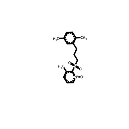 Cc1ccc(C)c(CCCS(=O)(=O)c2c(C)ccc[n+]2[O-])c1